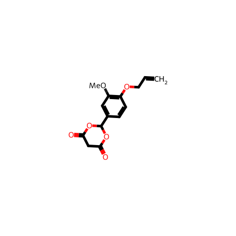 C=CCOc1ccc(C2OC(=O)CC(=O)O2)cc1OC